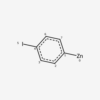 [Zn][c]1ccc(I)cc1